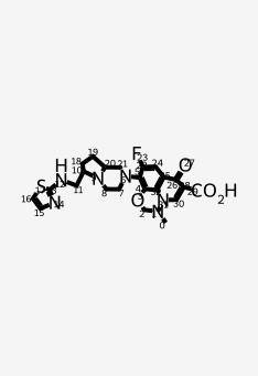 CN1COc2c(N3CCN4C(CNc5nccs5)CCC4C3)c(F)cc3c(=O)c(C(=O)O)cn1c23